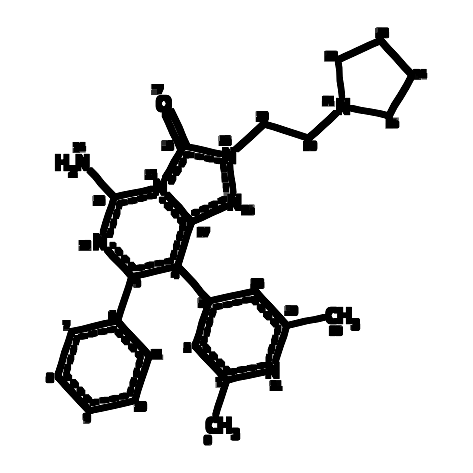 Cc1cc(-c2c(-c3ccccc3)nc(N)n3c(=O)n(CCN4CCCC4)nc23)cc(C)n1